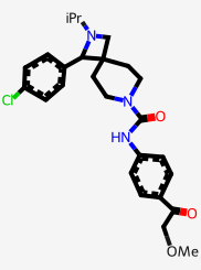 COCC(=O)c1ccc(NC(=O)N2CCC3(CC2)CN(C(C)C)C3c2ccc(Cl)cc2)cc1